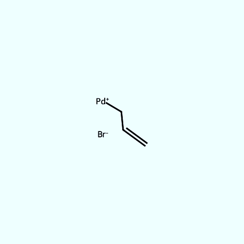 C=C[CH2][Pd+].[Br-]